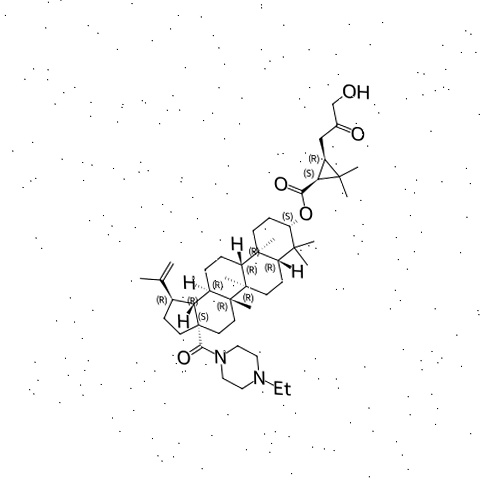 C=C(C)[C@@H]1CC[C@]2(C(=O)N3CCN(CC)CC3)CC[C@]3(C)[C@H](CC[C@@H]4[C@@]5(C)CC[C@H](OC(=O)[C@H]6[C@@H](CC(=O)CO)C6(C)C)C(C)(C)[C@@H]5CC[C@]43C)[C@@H]12